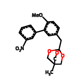 COc1ccc(CC23OCC(C)(CO2)CO3)cc1-c1cccc([N+](=O)[O-])c1